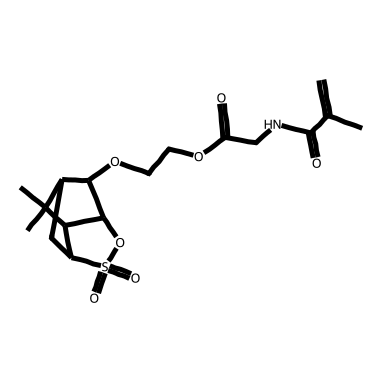 C=C(C)C(=O)NCC(=O)OCCOC1C2OS(=O)(=O)C3CC1C(C)(C)C23